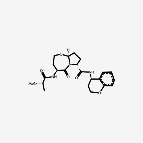 CN[C@@H](C)C(=O)N[C@H]1CCO[C@H]2CC[C@H](C(=O)N[C@@H]3CCOc4ccccc43)N2C1=O